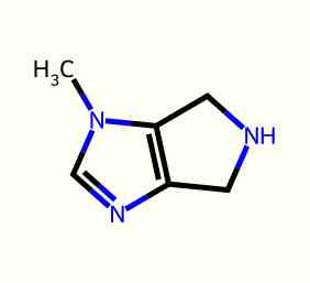 Cn1cnc2c1CNC2